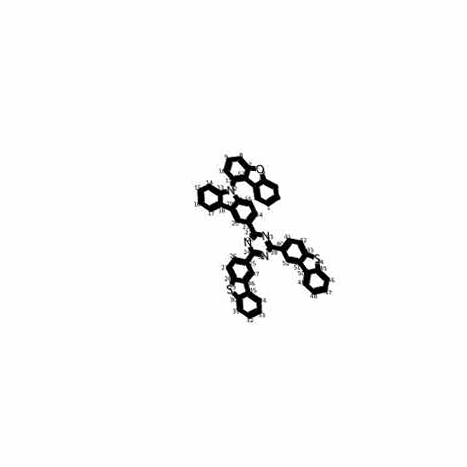 c1ccc2c(c1)oc1cccc(-n3c4ccccc4c4cc(-c5nc(-c6ccc7sc8ccccc8c7c6)nc(-c6ccc7sc8ccccc8c7c6)n5)ccc43)c12